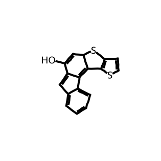 OC1=CC2Sc3ccsc3C2=C2C1=Cc1ccccc12